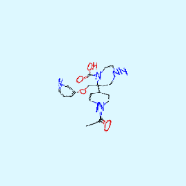 CC(=O)N1CCC(C2(COc3cccnc3)CNCCN2C(=O)O)CC1